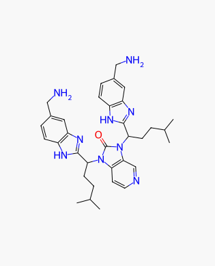 CC(C)CCC(c1nc2cc(CN)ccc2[nH]1)n1c(=O)n(C(CCC(C)C)c2nc3cc(CN)ccc3[nH]2)c2cnccc21